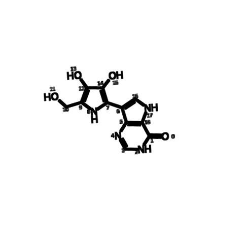 O=c1[nH]cnc2c(-c3[nH]c(CO)c(O)c3O)c[nH]c12